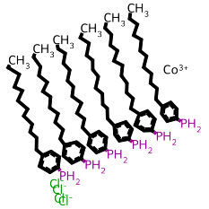 CCCCCCCCCCCCc1ccc(P)cc1.CCCCCCCCCCCCc1ccc(P)cc1.CCCCCCCCCCCCc1ccc(P)cc1.CCCCCCCCCCCCc1ccc(P)cc1.CCCCCCCCCCCCc1ccc(P)cc1.CCCCCCCCCCCCc1ccc(P)cc1.[Cl-].[Cl-].[Cl-].[Cl-].[Co+3]